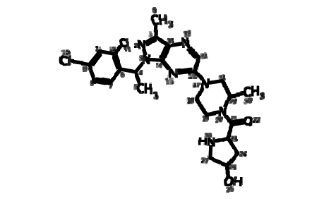 Cc1nn(C(C)c2ccc(Cl)cc2Cl)c2nc(N3CCN(C(=O)C4CC(O)CN4)C(C)C3)cnc12